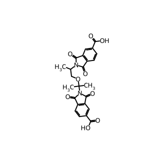 CC(COC(C)(C)N1C(=O)c2ccc(C(=O)O)cc2C1=O)N1C(=O)c2ccc(C(=O)O)cc2C1=O